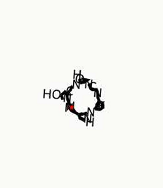 O=C1NCCC2CC(O)CN2c2ncc(cn2)-c2ccnc(c2)Nc2cccc(c2F)CN2CCN(CC2)C12CC2